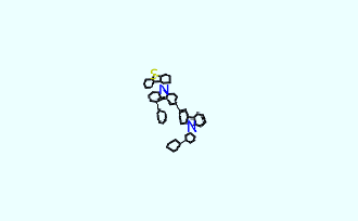 c1ccc(-c2cccc(-n3c4ccccc4c4cc(-c5ccc6c(c5)c5c(-c7ccccc7)cccc5n6-c5cccc6sc7ccccc7c56)ccc43)c2)cc1